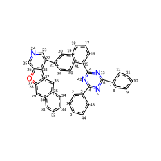 c1ccc(-c2nc(-c3ccccc3)nc(-c3cccc4cc(-c5cncc6oc7cc8ccccc8cc7c56)ccc34)n2)cc1